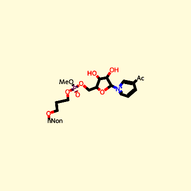 CCCCCCCCCOCCCOP(=O)(OC)OCC1OC([n+]2cccc(C(C)=O)c2)C(O)C1O